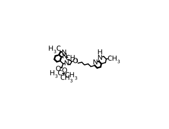 Cc1nn(C)c2c(C(C(=O)OC(C)(C)C)N3CC(OCCCCCc4ccc5c(n4)NCC(C)C5)C3)cccc12